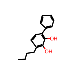 CCCCc1ccc(-c2ccccc2)c(O)c1O